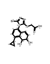 O=C(O)CSc1nnc(Br)n1-c1ccc(C2CC2)c2c1C=CC(O)C2O